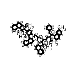 Cc1ccc2ccc3c(c2c1)C(C)(Cc1ccccc1)C(/C=C/C=C1/N(CC(=O)CN2/C(=C/C=C/C4=[N+](C)c5ccc6ccccc6c5C4(C)C)C(C)(C)c4c2ccc2ccccc42)c2ccc4ccccc4c2C1(C)C)=[N+]3C